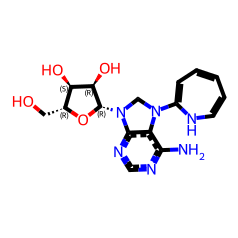 Nc1ncnc2c1N(C1=CC=CC=CN1)CN2[C@@H]1O[C@H](CO)[C@@H](O)[C@H]1O